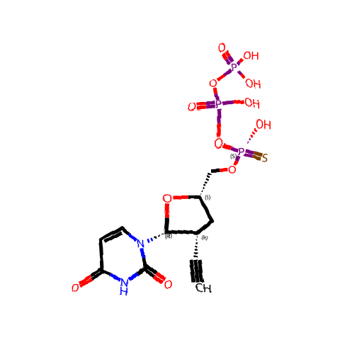 C#C[C@H]1C[C@@H](CO[P@](O)(=S)OP(=O)(O)OP(=O)(O)O)O[C@H]1n1ccc(=O)[nH]c1=O